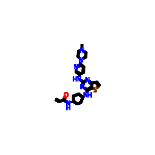 C=CC(=O)N[C@H]1CC[C@@H](Nc2nc(Nc3ccc(N4CCN(C)CC4)nc3)nc3ccsc23)CC1